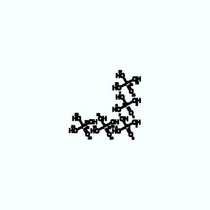 O=P(O)(O)O.O=P(O)(O)O.O=P(O)(O)O.O=P(O)(O)O.O=P(O)(O)O